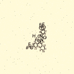 CN(C(=O)N1CC(c2ccccc2)=C(c2ccc(OC(F)F)cc2)N1)c1ccc2c(c1)OC(F)(F)O2